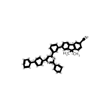 CC1(C)c2ccc(C#N)cc2-c2ccc(-c3cccc(-c4cc(-c5ccc(-c6ccccc6)cc5)nc(-c5ccccc5)n4)c3)cc21